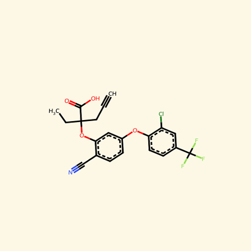 C#CCC(CC)(Oc1cc(Oc2ccc(C(F)(F)F)cc2Cl)ccc1C#N)C(=O)O